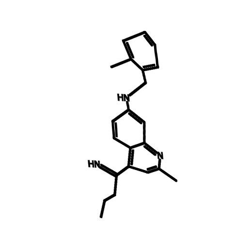 CCCC(=N)c1cc(C)nc2cc(NCc3ccccc3C)ccc12